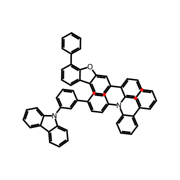 c1ccc(-c2ccccc2N(c2ccc(-c3cccc(-n4c5ccccc5c5ccccc54)c3)cc2)c2ccccc2-c2ccc3c(c2)oc2c(-c4ccccc4)cccc23)cc1